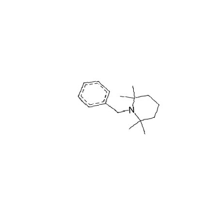 CC1(C)CCCC(C)(C)N1Cc1ccccc1